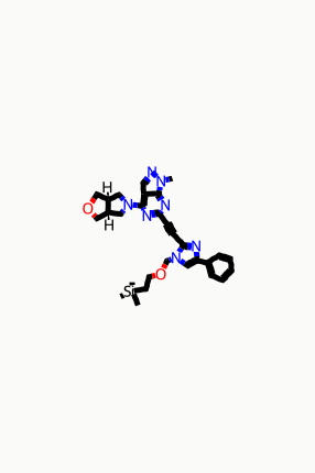 Cn1ncc2c(N3C[C@H]4COC[C@H]4C3)nc(C#Cc3nc(-c4ccccc4)cn3COCC[Si](C)(C)C)nc21